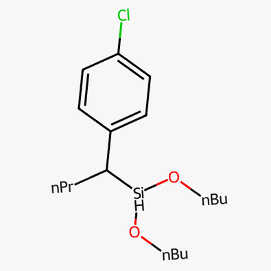 CCCCO[SiH](OCCCC)C(CCC)c1ccc(Cl)cc1